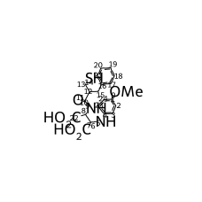 COc1ccc(NC(C(=O)O)C(NC(=O)C(CS)Cc2ccccc2)C(=O)O)cc1